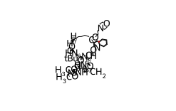 C=C[C@@H]1C[C@]1(NC(=O)[C@@H]1C[C@@H]2CN1C(=O)[C@H](C(C)(C)C)NC(=O)O[C@@H]1C[C@H]1CCCCCc1c(nc3ccccc3c1OCCN1CCOCC1)O2)C(=O)NS(=O)(=O)N(C)C